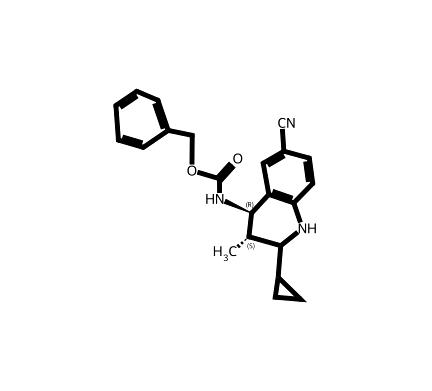 C[C@H]1C(C2CC2)Nc2ccc(C#N)cc2[C@@H]1NC(=O)OCc1ccccc1